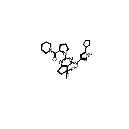 O=C([C@H]1CCCN1c1nc2c(c(Nc3cc(C4CCCC4)[nH]n3)n1)C(F)(F)CC2)N1CCCCC1